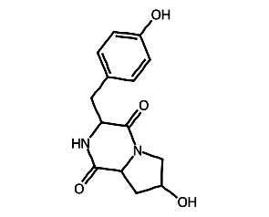 O=C1NC(Cc2ccc(O)cc2)C(=O)N2CC(O)CC12